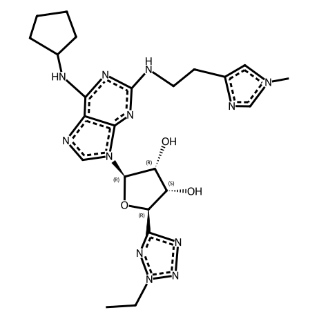 CCn1nnc([C@H]2O[C@@H](n3cnc4c(NC5CCCC5)nc(NCCc5cn(C)cn5)nc43)[C@H](O)[C@@H]2O)n1